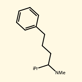 CNC(CCCc1ccccc1)C(C)C